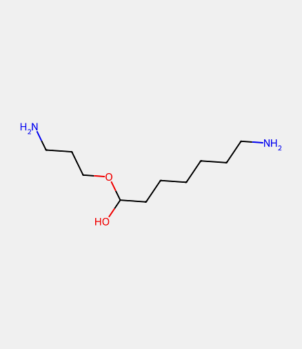 NCCCCCCC(O)OCCCN